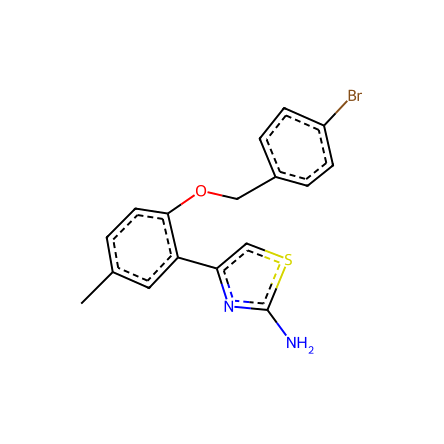 Cc1ccc(OCc2ccc(Br)cc2)c(-c2csc(N)n2)c1